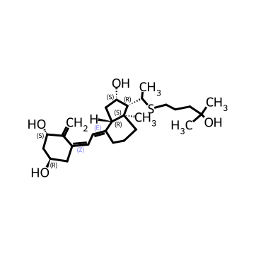 C=C1/C(=C\C=C2/CCC[C@@]3(C)[C@H]2C[C@H](O)[C@@H]3C(C)SCCCC(C)(C)O)C[C@@H](O)C[C@@H]1O